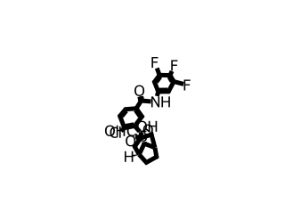 O=C[C@]1(O)CC2CC[C@@H](C1)C2S(=O)(=O)c1cc(C(=O)Nc2cc(F)c(F)c(F)c2)ccc1Cl